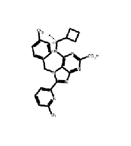 CC(C)c1cccc(-c2nc3nc(C(=O)O)nc(N[C@H](C)C4CCC4)c3n2Cc2ccc(C(F)(F)F)cc2)n1